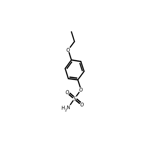 CCOc1ccc(OS(N)(=O)=O)cc1